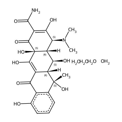 CN(C)[C@@H]1C(O)=C(C(N)=O)C(=O)[C@@]2(O)C(O)=C3C(=O)c4c(O)cccc4[C@@](C)(O)[C@H]3[C@H](O)[C@@H]12.O.O.O.O